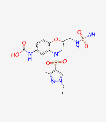 CCn1cc(S(=O)(=O)N2CC(CNS(=O)(=O)NC)Oc3ccc(NC(=O)O)cc32)c(C)n1